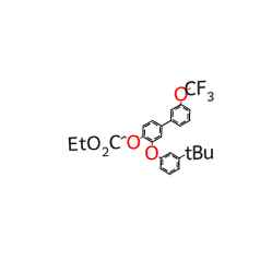 CCOC(=O)COc1ccc(-c2cccc(OC(F)(F)F)c2)cc1Oc1cccc(C(C)(C)C)c1